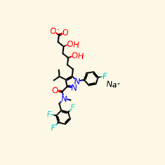 CC(C)c1c(C(=O)N(C)Cc2c(F)ccc(F)c2F)nn(-c2ccc(F)cc2)c1CCC(O)CC(O)CC(=O)[O-].[Na+]